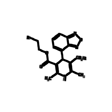 CCOC(=O)C1=C(C)NC(C)=C(C(=O)OCCBr)C1c1cccc2nonc12